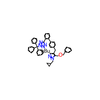 CCCCc1nn(CC2CC2)c(COCc2ccccc2)c1Cc1ccc(-c2ccccc2-c2nnn(C(c3ccccc3)(c3ccccc3)c3ccccc3)n2)cc1